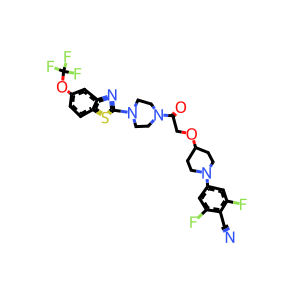 N#Cc1c(F)cc(N2CCC(OCC(=O)N3CCN(c4nc5cc(OC(F)(F)F)ccc5s4)CC3)CC2)cc1F